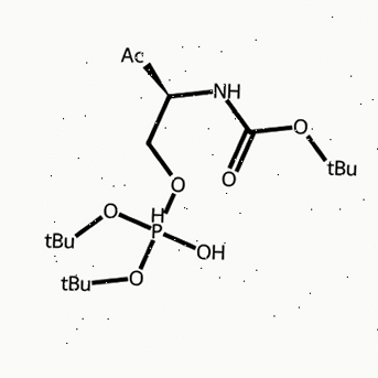 CC(=O)[C@H](CO[PH](O)(OC(C)(C)C)OC(C)(C)C)NC(=O)OC(C)(C)C